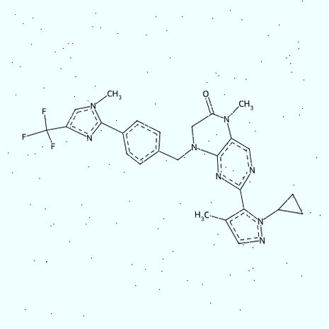 Cc1cnn(C2CC2)c1-c1ncc2c(n1)N(Cc1ccc(-c3nc(C(F)(F)F)cn3C)cc1)CC(=O)N2C